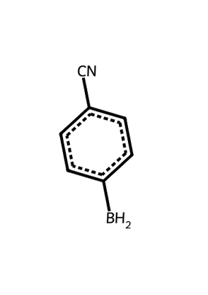 Bc1ccc(C#N)cc1